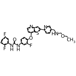 CCOCNCc1ccc(-c2cc3nccc(Oc4ccc(NC(=O)Nc5cc(F)ccc5F)cc4F)c3s2)nc1